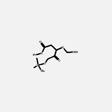 COCOC(CC(=O)OC(C)C)C(=O)CO[Si](C)(C)C(C)(C)C